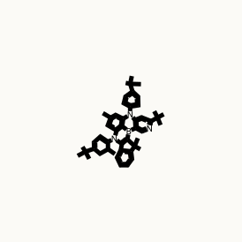 Cc1cc2c3c(c1)N(c1ccc(C(C)(C)C)cc1)c1cc(C(C)(C)C)ncc1B3C1=C(c3ccccc3C1(C)C)N2C1=CC=C(C(C)(C)C)CC1C